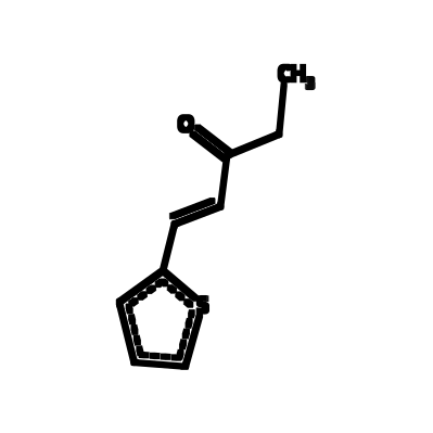 CCC(=O)C=Cc1cccs1